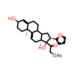 CC(=O)OCC(=O)[C@@]1(O)[C@H](c2ccco2)CC2C3CCC4=CC(O)CC[C@]4(C)C3=CC[C@@]21C